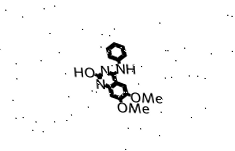 COc1cc2nc(O)nc(Nc3ccccc3)c2cc1OC